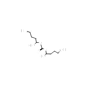 O=C(OC(O)CCCO)OC(O)CCCO